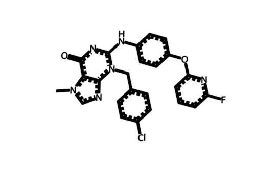 Cn1cnc2c1c(=O)nc(Nc1ccc(Oc3cccc(F)n3)cc1)n2Cc1ccc(Cl)cc1